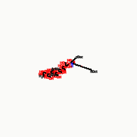 CCCCCCCC/C=C\CCCCCCCCCCCCCCCC(=O)N[C@@H](CO[C@@H]1OC(CO)[C@@H](O[C@@H]2OC(CO)[C@H](O)[C@H](O[C@@H]3OC(CO)[C@@H](O)[C@H](O[C@@H]4OC(CO)[C@H](O)[C@H](O[C@@H]5OC(CO)[C@@H](O)[C@H](O[C@@H]6OC(CO)[C@H](O)[C@H](O)C6O[C@H]6OC(C)[C@@H](O)C(O)[C@@H]6O)C5NC(C)=O)C4O)C3NC(C)=O)C2O)[C@H](O)C1O)[C@H](O)/C=C/CCCCCCCCCCCCC